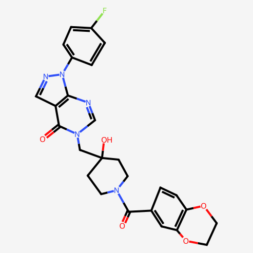 O=C(c1ccc2c(c1)OCCO2)N1CCC(O)(Cn2cnc3c(cnn3-c3ccc(F)cc3)c2=O)CC1